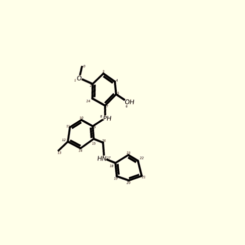 COc1ccc(O)c(Pc2ccc(C)cc2CNc2ccccc2)c1